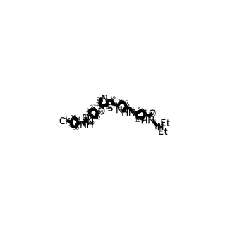 CCN(CC)CCNC(=O)c1ccc(NCc2ccc(-c3cc4nccc(Oc5ccc6oc(Nc7ccc(Cl)cc7)nc6c5)c4s3)nc2)cc1